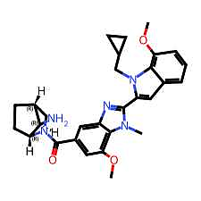 COc1cc(C(=O)N2C[C@H]3CC[C@@H]2[C@@H]3N)cc2nc(-c3cc4cccc(OC)c4n3CC3CC3)n(C)c12